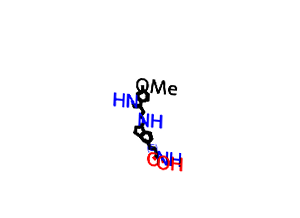 COc1ccc2c(CCNC3CCc4cc(/C=C/C(=O)NO)ccc43)c[nH]c2c1